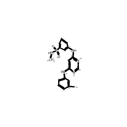 CNS(=O)(=O)c1cccc(Nc2cc(Nc3cccc(F)c3)ncn2)c1